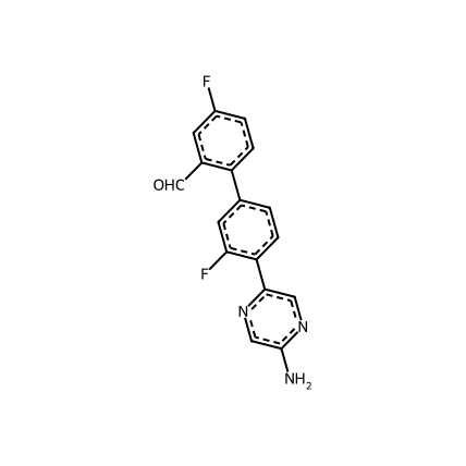 Nc1cnc(-c2ccc(-c3ccc(F)cc3C=O)cc2F)cn1